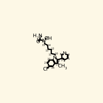 Cc1c(-c2cccnc2)n(CCCCCCN(O)C(N)=O)c2ccc(Cl)cc12